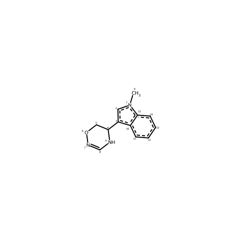 Cn1cc(C2CON=CN2)c2ccccc21